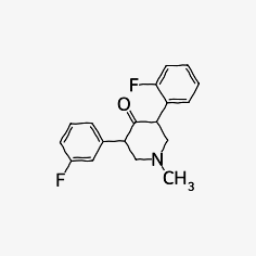 CN1CC(c2cccc(F)c2)C(=O)C(c2ccccc2F)C1